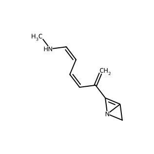 C=C(/C=C\C=C/NC)C1=C2CN21